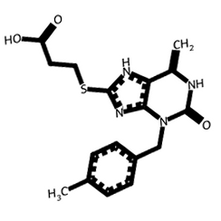 C=C1NC(=O)N(Cc2ccc(C)cc2)c2nc(SCCC(=O)O)[nH]c21